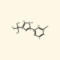 Cc1cccc(-c2cc(C(C)(C)C)cs2)c1